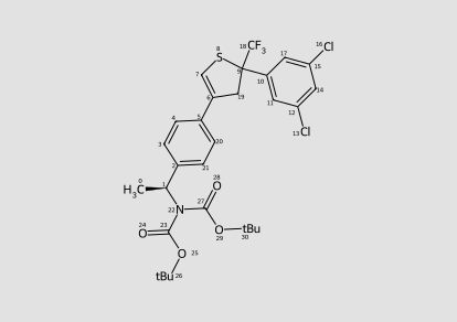 C[C@@H](c1ccc(C2=CSC(c3cc(Cl)cc(Cl)c3)(C(F)(F)F)C2)cc1)N(C(=O)OC(C)(C)C)C(=O)OC(C)(C)C